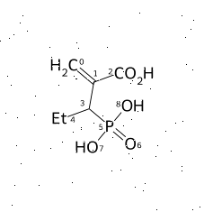 C=C(C(=O)O)C(CC)P(=O)(O)O